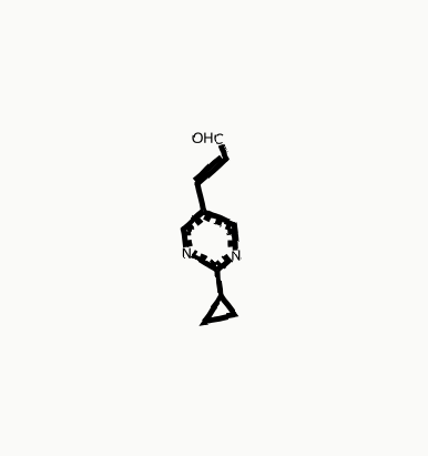 O=CC=Cc1cnc(C2CC2)nc1